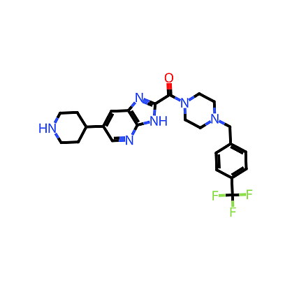 O=C(c1nc2cc(C3CCNCC3)cnc2[nH]1)N1CCN(Cc2ccc(C(F)(F)F)cc2)CC1